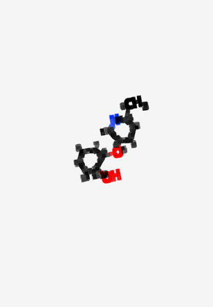 Cc1ccc(Oc2ccccc2O)cn1